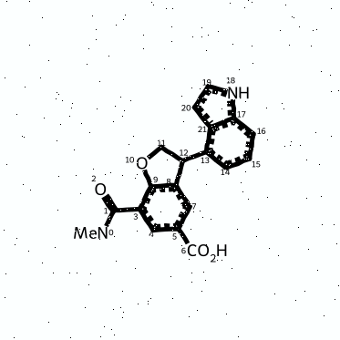 CNC(=O)c1cc(C(=O)O)cc2c1OCC2c1cccc2[nH]ccc12